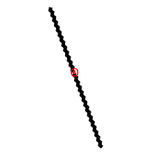 CCCCCCCCCCCCCCCCCCCCCCCCCCCCCCOCCCCCCCCCCCCCCCCCCCCCCCCCC